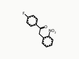 O=C(Cc1ccccc1[N+](=O)[O-])c1ccc(F)cc1